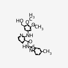 COc1cc(Nc2ncccc2C(=O)Nc2nc3ccc(C)cc3s2)cc(CO)c1OC